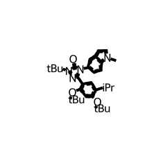 CC(C)c1cc(-c2nn(C(C)(C)C)c(=O)n2-c2ccc3c(ccn3C)c2)c(OC(C)(C)C)cc1OC(C)(C)C